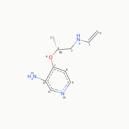 C=CNC[C@@H](C)Oc1ccncc1N